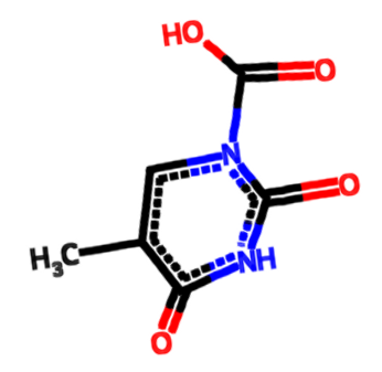 Cc1cn(C(=O)O)c(=O)[nH]c1=O